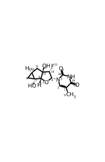 Cc1cn([C@@H]2O[C@@H]3[C@@]4(O)C[C@H]4C[C@]3(O)[C@@H]2F)c(=O)[nH]c1=O